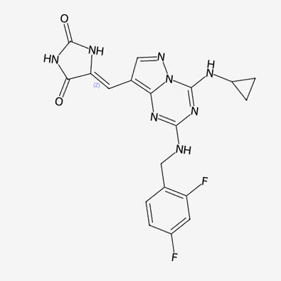 O=C1NC(=O)/C(=C/c2cnn3c(NC4CC4)nc(NCc4ccc(F)cc4F)nc23)N1